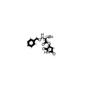 CC[C@H](C)[C@H](NOCc1ccccc1)C(=O)OC1CC(=O)NC1=O